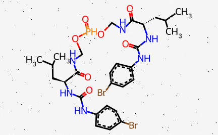 CC(C)C[C@H](NC(=O)Nc1ccc(Br)cc1)C(=O)NCO[PH](=O)OCNC(=O)[C@H](CC(C)C)NC(=O)Nc1ccc(Br)cc1